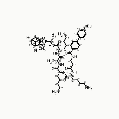 CCCCc1ccc(-c2ccc(C(=O)NCCC(=O)N[C@@H](CCCCN)C(=O)N[C@@H](CCCCN)C(=O)N[C@@H](C)C(=O)N[C@@H](CCCCN)C(=O)N[C@@H](C)B3OC4C[C@@H]5C[C@@H](C5(C)C)[C@]4(C)O3)cc2)cc1